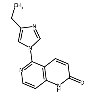 CCc1cn(-c2nccc3[nH]c(=O)ccc23)cn1